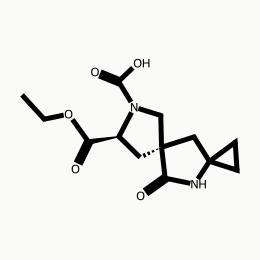 CCOC(=O)[C@@H]1C[C@]2(CN1C(=O)O)CC1(CC1)NC2=O